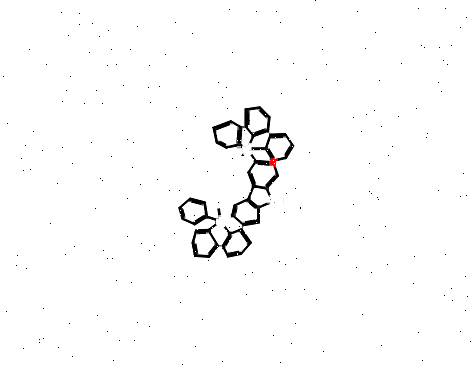 C[SH](c1ccccc1)(c1ccccc1)(c1ccccc1)c1ccc2[nH]c3ccc([SH](C)(c4ccccc4)(c4ccccc4)c4ccccc4)cc3c2c1